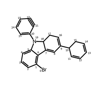 Brc1cccc2c1C1=CC(C3C=CC=CC3)=CCC1N2c1c#cccc1